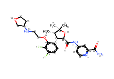 C[C@H]1[C@@H](c2ccc(F)c(F)c2OCCN[C@@H]2CCOC2)[C@H](C(=O)Nc2ccnc(C(N)=O)c2)O[C@@]1(C)C(F)(F)F